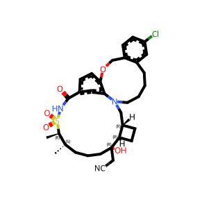 C[C@@H]1[C@@H](C)CCC[C@@](O)(CC#N)[C@@H]2CC[C@H]2CN2CCCCc3cc(Cl)ccc3COc3ccc(cc32)C(=O)NS1(=O)=O